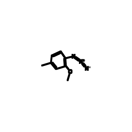 COc1cc(C)ccc1N=[N+]=[N-]